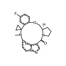 CN1c2ccn3ncc(c3n2)C(=O)N2CCC[C@@H]2COc2ccc(F)cc2C12CC2